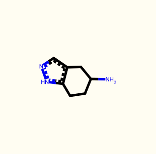 NC1CCc2[nH]ncc2C1